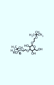 CC(C)(C)OCCOC1OC(CO)C(O)C(OCCOP(=O)(O)C(C)(C)C)C1O